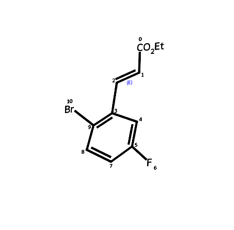 CCOC(=O)/C=C/c1cc(F)ccc1Br